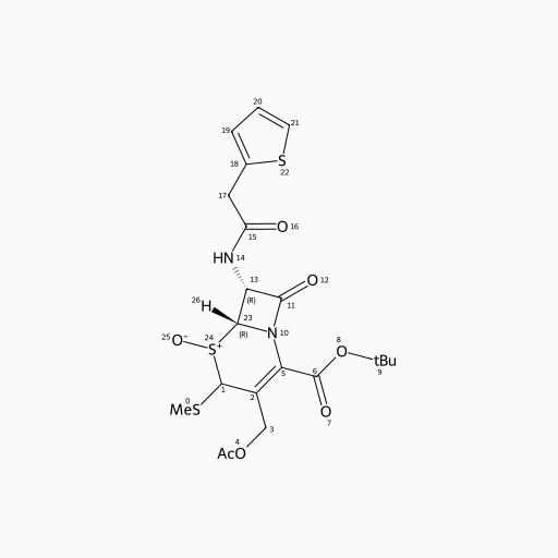 CSC1C(COC(C)=O)=C(C(=O)OC(C)(C)C)N2C(=O)[C@@H](NC(=O)Cc3cccs3)[C@H]2[S+]1[O-]